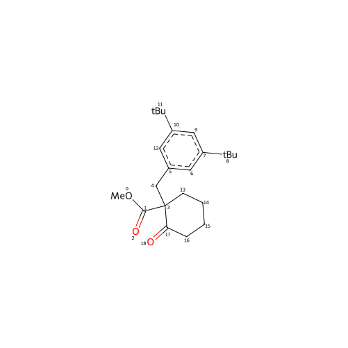 COC(=O)C1(Cc2cc(C(C)(C)C)cc(C(C)(C)C)c2)CCCCC1=O